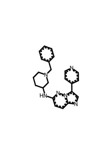 c1ccc(CN2CCCC(Nc3ccc4ncc(-c5ccncc5)n4n3)C2)cc1